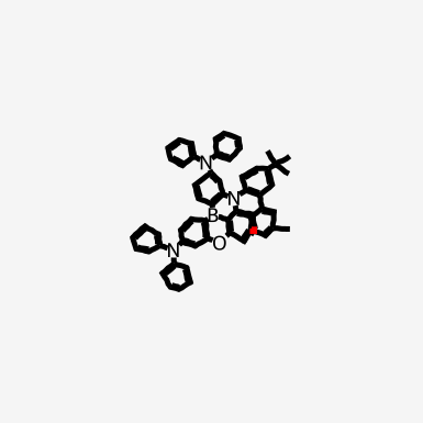 Cc1cc(C)cc(-c2cc(C(C)(C)C)ccc2N2c3cc(N(c4ccccc4)c4ccccc4)ccc3B3c4ccc(N(c5ccccc5)c5ccccc5)cc4Oc4cccc2c43)c1